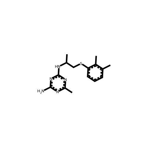 Cc1nc(N)nc(NC(C)CSc2cccc(C)c2C)n1